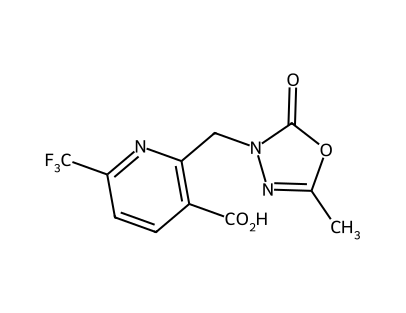 Cc1nn(Cc2nc(C(F)(F)F)ccc2C(=O)O)c(=O)o1